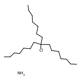 CCCCCCCC(Cl)(CCCCCCC)CCCCCCC.N